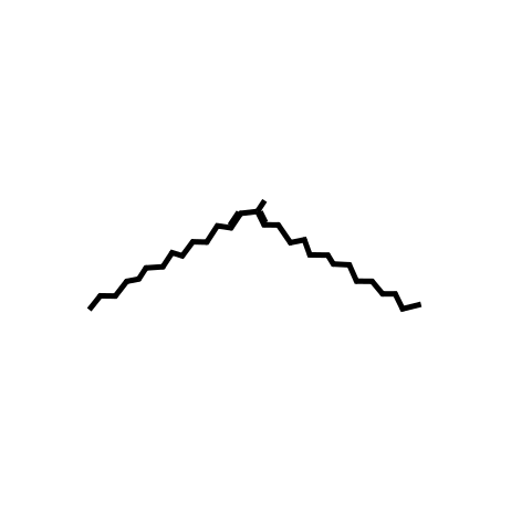 CCCCCCCCCCCCC=CC(C)=CCCCCCCCCCCCCC